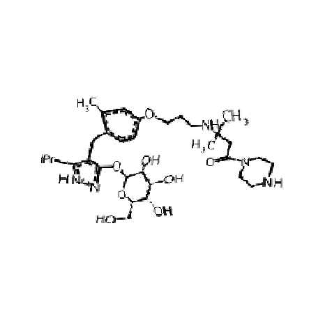 Cc1cc(OCCCNC(C)(C)CC(=O)N2CCNCC2)ccc1Cc1c(O[C@@H]2O[C@H](CO)[C@@H](O)[C@H](O)[C@H]2O)n[nH]c1C(C)C